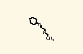 CCN=CC=NC1CCCCC1